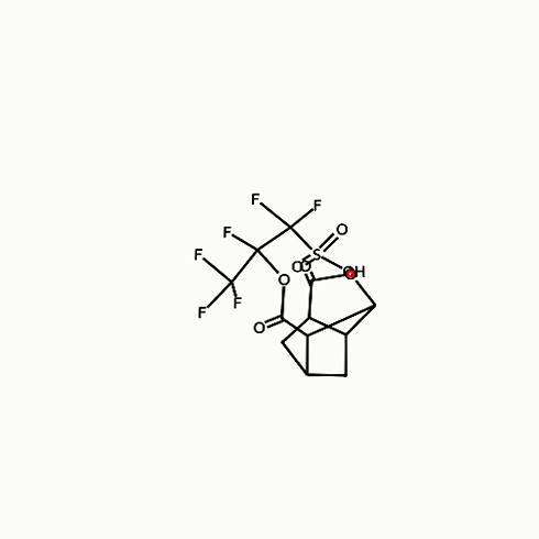 O=C1OC2C3CC(CC13)C2C(=O)OC(F)(C(F)(F)F)C(F)(F)S(=O)(=O)O